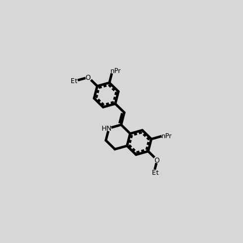 CCCc1cc(/C=C2\NCCc3cc(OCC)c(CCC)cc32)ccc1OCC